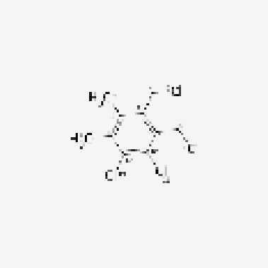 Cc1c(C)c(CCl)c(CCl)c(Cl)c1Cl